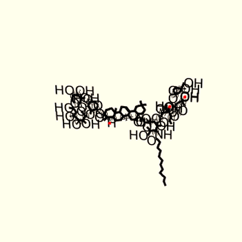 CCCCCCCCCCCC(=O)N[C@H]1C(CO)O[C@@H](OC(=O)[C@]23CCC(C)(C)CC2C2=CCC4C5(C)CC[C@H](O[C@@H]6OC[C@@H](O)[C@H](O[C@@H]7OC[C@@H](O)[C@H](O)C7O)C6O[C@@H]6OC(CO)[C@H](O)[C@H](O)C6O)[C@](C)(C=O)[C@@H]5CC[C@]4(C)[C@]2(C)CC3O)[C@H](O[C@@H]2OC(C)[C@H](O[C@@H]3OC[C@@H](O)C(O[C@@H]4OC[C@](O)(CO)C4O)[C@H]3O)C(O)[C@@H]2O)C1O